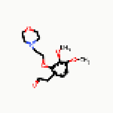 COc1ccc(CC=O)c(OCCN2CCOCC2)c1OC